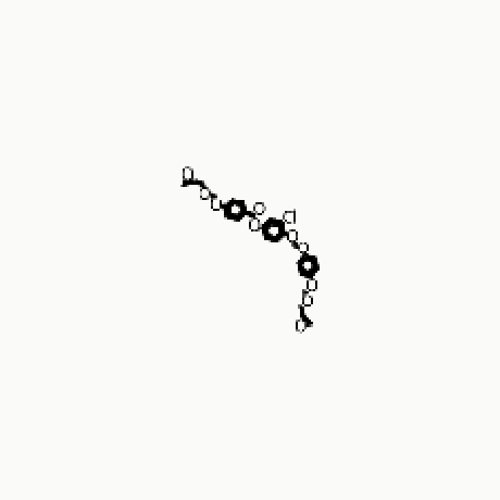 O=C(Oc1ccc(OCOc2ccc(OCOCC3CO3)cc2)c(Cl)c1)c1ccc(OCOCC2CO2)cc1